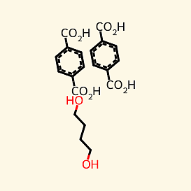 O=C(O)c1ccc(C(=O)O)cc1.O=C(O)c1ccc(C(=O)O)cc1.OCCCCO